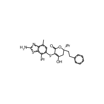 Cc1cc(SC2=C(O)C[C@@](CCc3ccccc3)(C(C)C)OC2=O)c(C(C)C)c2sc(N)nc12